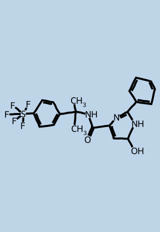 CC(C)(NC(=O)C1=CC(O)NC(c2ccccc2)=N1)c1ccc(S(F)(F)(F)(F)F)cc1